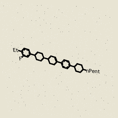 CCCCCC1CCC(c2ccc(C3=CCC(C4CCC(c5ccc(CC)c(F)c5)CC4)CC3)cc2)CC1